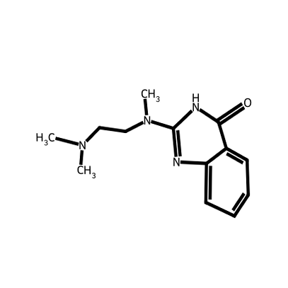 CN(C)CCN(C)c1nc2ccccc2c(=O)[nH]1